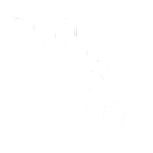 CCOC(=O)C1(COc2ccc3cc(OC)ccc3c2)CN(OS(=O)(=O)c2ccc(C)cc2)C1